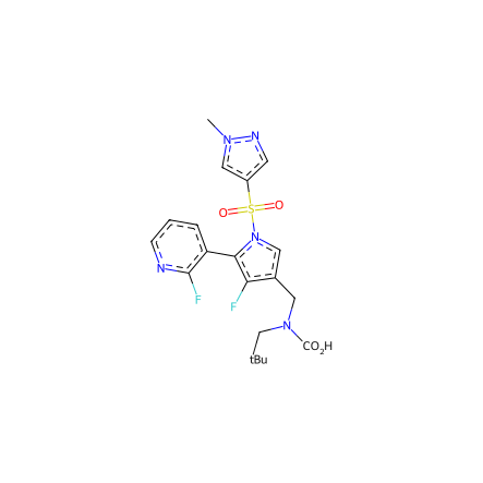 Cn1cc(S(=O)(=O)n2cc(CN(CC(C)(C)C)C(=O)O)c(F)c2-c2cccnc2F)cn1